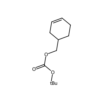 CC(C)(C)OC(=O)OCC1CC=CCC1